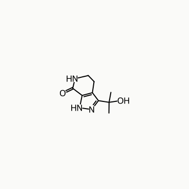 CC(C)(O)c1n[nH]c2c1CCNC2=O